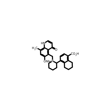 COc1cc(C)c2[nH]ccc(=O)c2c1CN1CCCCC1c1ccc(C(=O)O)c2c1CCCC2